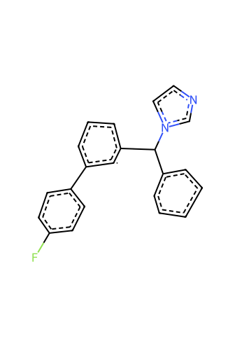 Fc1ccc(-c2[c]c(C(c3ccccc3)n3ccnc3)ccc2)cc1